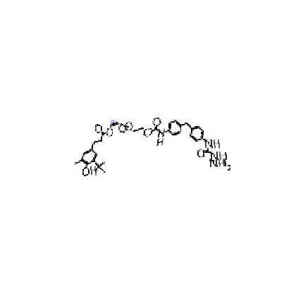 Cc1cc(CCC(=O)O/C=C\OOCCOC(=O)Nc2ccc(Cc3ccc(NC(=O)NN)cc3)cc2)cc(C(C)(C)C)c1O